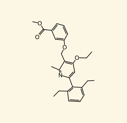 CCOc1cc(-c2c(CC)cccc2CC)nc(C)c1COc1cccc(C(=O)OC)c1